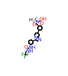 CN(C(=O)O)C(=O)c1cccc(-c2ccn3c(-c4cccc(NC(=O)NCC(F)(F)F)c4)cnc3c2)c1